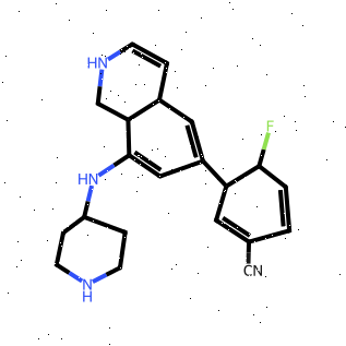 N#CC1=CC(C2=CC3C=CNCC3C(NC3CCNCC3)=C2)C(F)C=C1